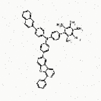 Bc1c(B)c(B)c(-c2ccc(N(c3ccc(-c4ccc5ccccc5c4)cc3)c3ccc(-c4ccc5oc6c(-c7ccccc7)cccc6c5c4)cc3)cc2)c(B)c1B